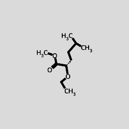 CCO[C@@H](CCC(C)C)C(=O)OC